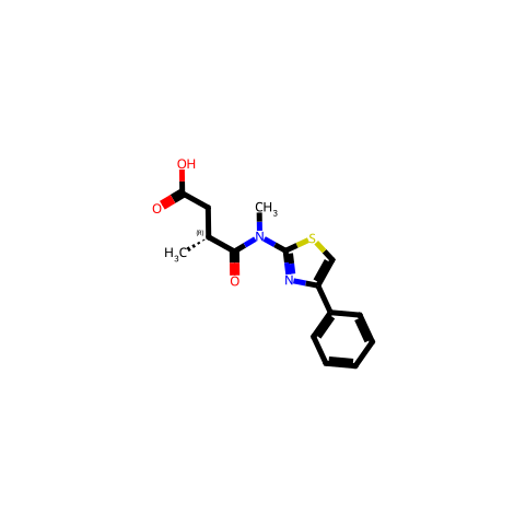 C[C@H](CC(=O)O)C(=O)N(C)c1nc(-c2ccccc2)cs1